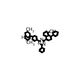 C[C@@H]1C[C@@H]2C[C@H](C)CC(c3ccc(-c4nc(-c5ccccc5)nc(-c5ccc(-c6ccccc6)c6c(C#N)cccc56)n4)cc3)(C1)C2